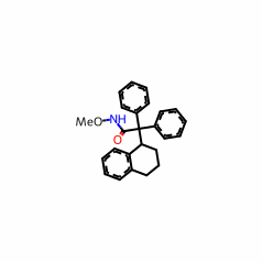 CONC(=O)C(c1ccccc1)(c1ccccc1)C1CCCc2ccccc21